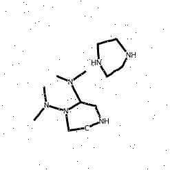 C1CNCCN1.CN(C)C1CNCCN1N(C)C